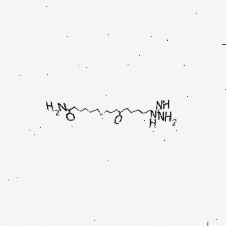 N=C(N)NCCCCCC(=O)CCCCCCCCCC(N)=O